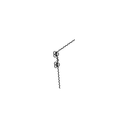 CCCCCCCCCCCCCCCCCC(=O)OC(=O)CCSCCC(=O)OC(=O)CCCCCCCCCCCCCCCCC